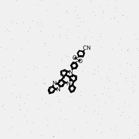 N#CC1=CC=C(S(=O)(=O)c2ccc(-n3c4cccc5c6cc7nc8ccccc8nc7cc6n6c7ccccc7c7ccc3c(c54)c76)cc2)CC1